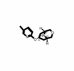 Cc1ccc(O[C@H]2C[C@H]3COC[C@@H](C2)N3)nc1